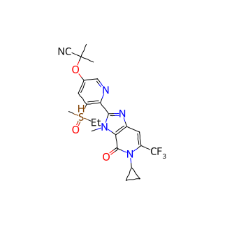 CC[SH](C)(=O)c1cc(OC(C)(C)C#N)cnc1-c1nc2cc(C(F)(F)F)n(C3CC3)c(=O)c2n1C